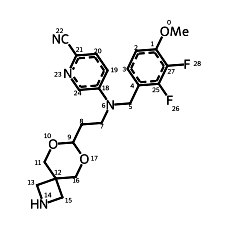 COc1ccc(CN(CCC2OCC3(CNC3)CO2)c2ccc(C#N)nc2)c(F)c1F